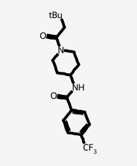 CC(C)(C)CC(=O)N1CCC(NC(=O)c2ccc(C(F)(F)F)cc2)CC1